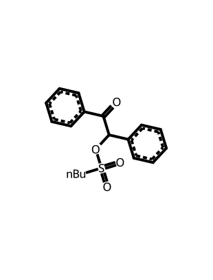 CCCCS(=O)(=O)OC(C(=O)c1ccccc1)c1ccccc1